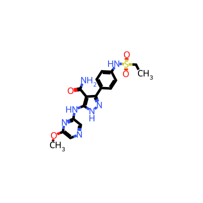 CCS(=O)(=O)Nc1ccc(-c2n[nH]c(Nc3cncc(OC)n3)c2C(N)=O)cc1